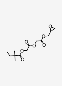 CCC(C)(C)C(=O)OCC(=O)OCC(=O)OCC1CO1